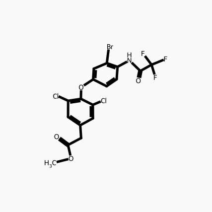 COC(=O)Cc1cc(Cl)c(Oc2ccc(NC(=O)C(F)(F)F)c(Br)c2)c(Cl)c1